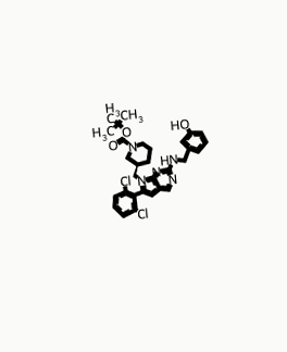 CC(C)(C)OC(=O)N1CCC[C@@H](Cn2c(-c3c(Cl)cccc3Cl)cc3cnc(NCc4cccc(O)c4)nc32)C1